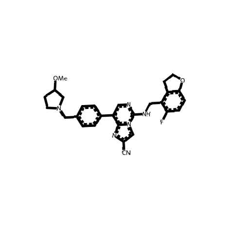 COC1CCN(Cc2ccc(-c3cnc(NCc4c(F)ccc5c4CCO5)n4cc(C#N)nc34)cc2)C1